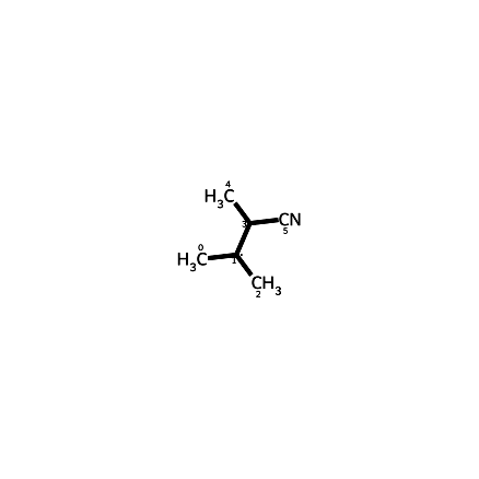 C[C](C)C(C)C#N